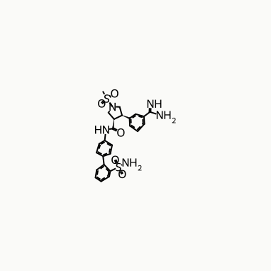 CS(=O)(=O)N1C[C@H](C(=O)Nc2ccc(-c3ccccc3S(N)(=O)=O)cc2)[C@H](c2cccc(C(=N)N)c2)C1